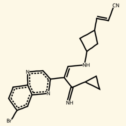 N#C/C=C/C1CC(N/C=C(\C(=N)C2CC2)c2cnc3ccc(Br)cc3n2)C1